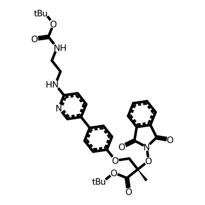 CC(C)(C)OC(=O)NCCNc1ccc(-c2ccc(OC[C@](C)(ON3C(=O)c4ccccc4C3=O)C(=O)OC(C)(C)C)cc2)cn1